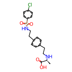 C[C@H](NCCc1ccc(CCNS(=O)(=O)c2ccc(Cl)cc2)cc1)C(=O)O